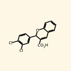 O=C(O)C1=Cc2ccccc2OC1c1ccc(Cl)c(Cl)c1